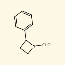 O=CN1CCC1c1ccccc1